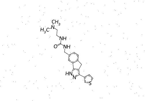 CN(C)CCNC(=O)NCc1ccc2c(c1)-c1[nH]nc(-c3ccsc3)c1C2